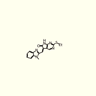 CCSc1ncc2c(n1)NC(=O)C2=Cc1nc2ccccc2n1C